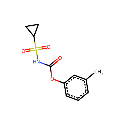 Cc1cccc(OC(=O)NS(=O)(=O)C2CC2)c1